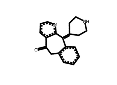 O=C1Cc2ccccc2C(=C2CCNCC2)c2ncccc21